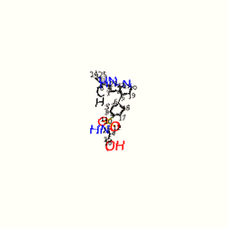 CC1(c2cc3c(-c4ccc(S(=O)(=O)NCCO)cc4)ccnc3[nH]2)CC1